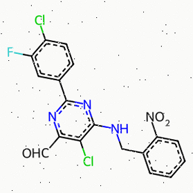 O=Cc1nc(-c2ccc(Cl)c(F)c2)nc(NCc2ccccc2[N+](=O)[O-])c1Cl